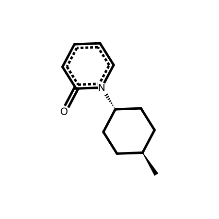 C[C@H]1CC[C@H](n2ccccc2=O)CC1